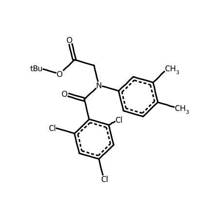 Cc1ccc(N(CC(=O)OC(C)(C)C)C(=O)c2c(Cl)cc(Cl)cc2Cl)cc1C